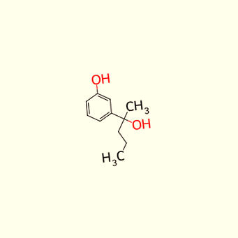 CCCC(C)(O)c1cccc(O)c1